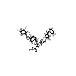 CCOC(=O)c1cn(Cc2ccc(Oc3ccccc3)cc2)nc1OCc1ccc(Oc2ccccc2)cc1